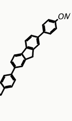 COc1ccc(-c2ccc3c(c2)Cc2cc(-c4ccc5cc(C(C)(C)C)ccc5c4)ccc2-3)cc1